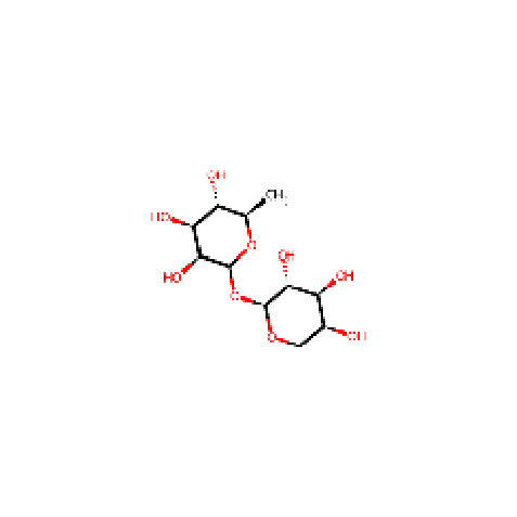 C[C@H]1OC(O[C@@H]2OC[C@H](O)[C@H](O)[C@H]2O)[C@@H](O)[C@@H](O)[C@@H]1O